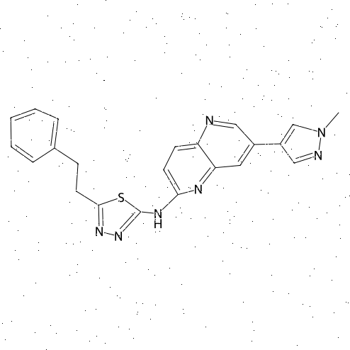 Cn1cc(-c2cnc3ccc(Nc4nnc(CCc5ccccc5)s4)nc3c2)cn1